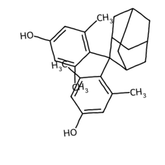 Cc1cc(O)cc(C)c1C1(c2c(C)cc(O)cc2C)C2CC3CC(C2)CC1C3